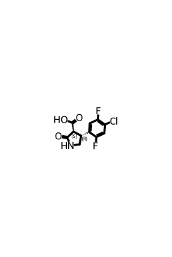 O=C(O)[C@@H]1C(=O)NC[C@H]1c1cc(F)c(Cl)cc1F